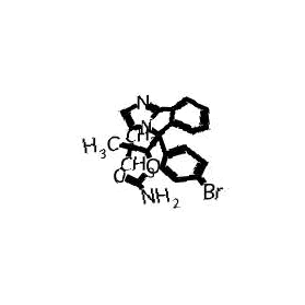 CC(C)(C)C(OC(N)=O)C1(c2ccc(Br)cc2)c2ccccc2-c2nccn21